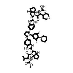 COC(=O)N[C@H](C(=O)N1[C@H](c2nc3cc([C@H]4CC[C@H](c5ccc6[nH]c([C@@H]7C[C@@H]8CCC[C@@H]8N7C(=O)[C@@H](NC(=O)O)C7CCOCC7)nc6c5)N4c4cc(F)c(N5CCCCC5)c(F)c4)ccc3[nH]2)C[C@@H]2CCC[C@@H]21)C(C)C